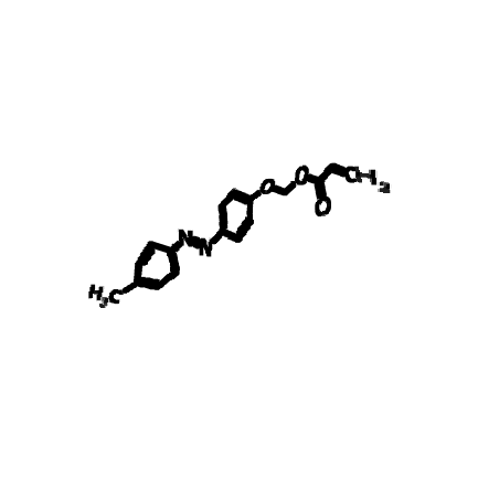 C=CC(=O)OCOc1ccc(/N=N/c2ccc(C)cc2)cc1